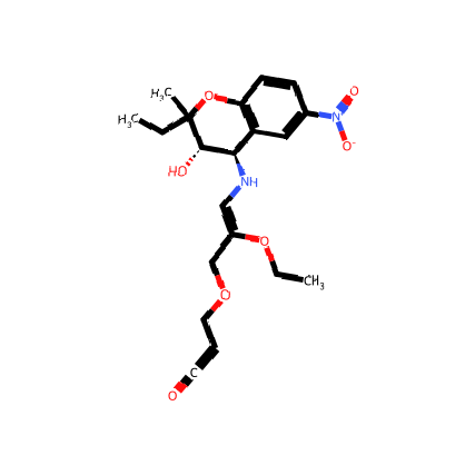 CCOC(=CN[C@@H]1c2cc([N+](=O)[O-])ccc2OC(C)(CC)[C@H]1O)COCC=C=O